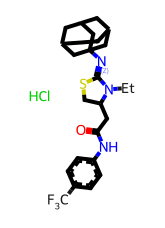 CCN1/C(=N/C23CC4CC(CC(C4)C2)C3)SCC1CC(=O)Nc1ccc(C(F)(F)F)cc1.Cl